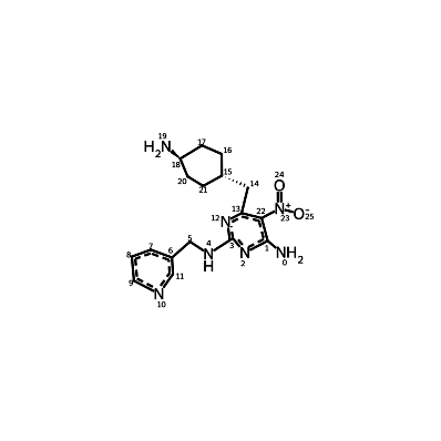 Nc1nc(NCc2cccnc2)nc(C[C@H]2CC[C@H](N)CC2)c1[N+](=O)[O-]